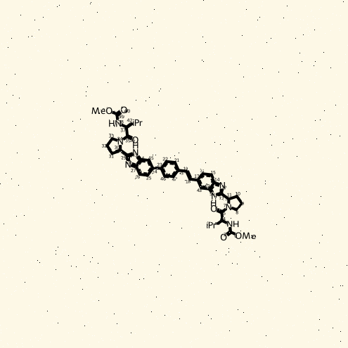 COC(=O)NC(C(=O)N1CCCC1c1nc2ccc(/C=C/c3ccc(-c4ccc5nc(C6CCCN6C(=O)C(NC(=O)OC)C(C)C)[nH]c5c4)cc3)cc2[nH]1)C(C)C